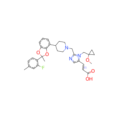 COC1(Cn2c(/C=C/C(=O)O)cnc2CN2CCC(c3cccc4c3OC(C)(c3ccc(C)cc3F)O4)CC2)CC1